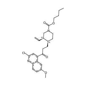 C=C[C@H]1CN(C(=O)OCCCC)CC[C@H]1CCC(=O)c1cc(Cl)nc2ccc(OC)cc12